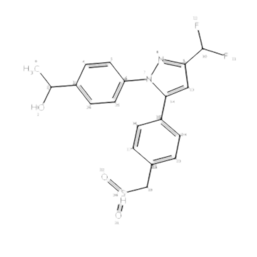 CC(O)c1ccc(-n2nc(C(F)F)cc2-c2ccc(C[SH](=O)=O)cc2)cc1